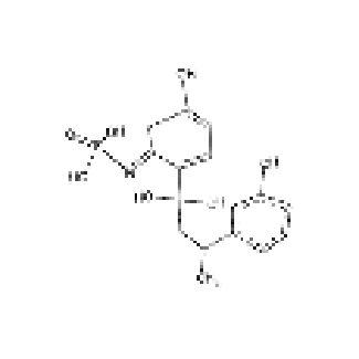 CC(CC(O)(O)C1=CC=C(O)CC1=NP(=O)(O)O)c1cccc(O)c1